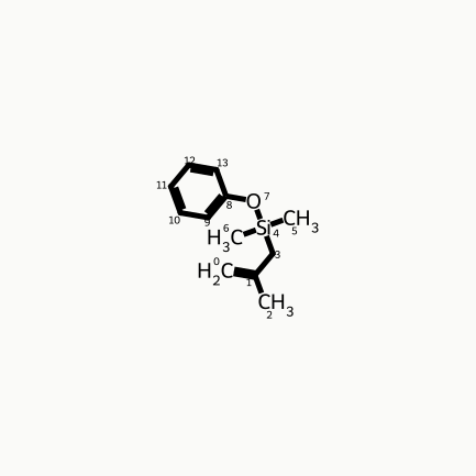 C=C(C)C[Si](C)(C)Oc1ccccc1